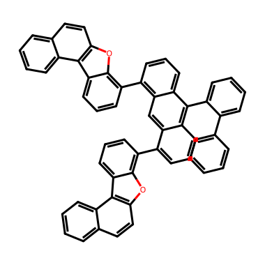 c1ccc(-c2ccccc2-c2c3cccc(-c4cccc5c4oc4ccc6ccccc6c45)c3cc3c(-c4cccc5c4oc4ccc6ccccc6c45)cccc23)cc1